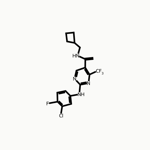 C=C(NCC1CCC1)c1cnc(Nc2ccc(F)c(Cl)c2)nc1C(F)(F)F